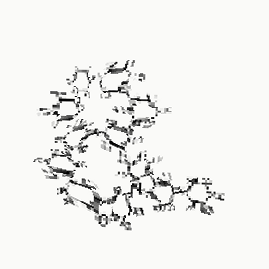 c1ccc(-c2cccc(-c3cccc(-c4cccc(-c5cccc(-c6cccc(-c7cccc(-c8ccc9oc%10ccc(-n%11c%12ccccc%12c%12cc(-c%13ccccc%13)ccc%12%11)cc%10c9c8)c7)c6)c5)c4)c3)c2)cc1